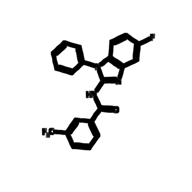 O=C(Nc1nc2cc(F)ccc2n1-c1ccccc1)c1cccc(C(F)(F)F)c1